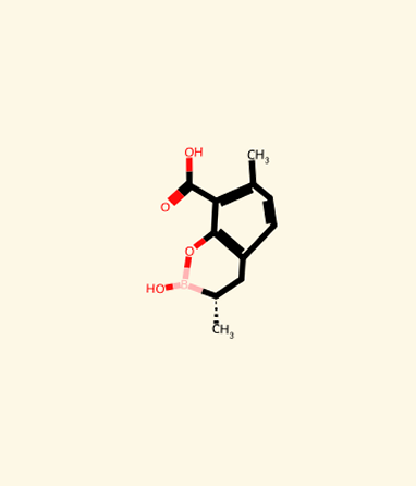 Cc1ccc2c(c1C(=O)O)OB(O)[C@@H](C)C2